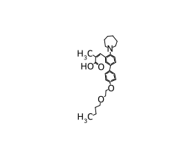 CCCCOCCOc1ccc(-c2ccc(N3CCCCCC3)c(C=C(C)C(=O)O)c2)cc1